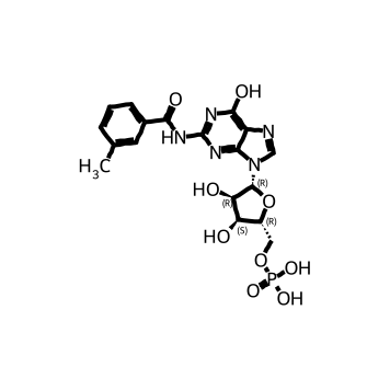 Cc1cccc(C(=O)Nc2nc(O)c3ncn([C@@H]4O[C@H](COP(=O)(O)O)[C@@H](O)[C@H]4O)c3n2)c1